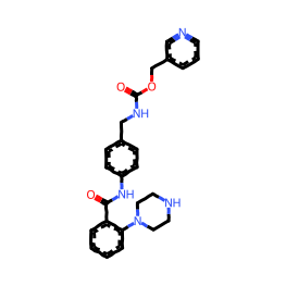 O=C(NCc1ccc(NC(=O)c2ccccc2N2CCNCC2)cc1)OCc1cccnc1